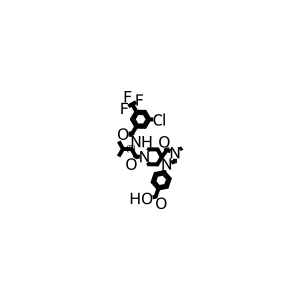 CC(C)[C@@H](NC(=O)c1cc(Cl)cc(C(F)(F)F)c1)C(=O)N1CCC2(CC1)C(=O)N(C)CN2c1ccc(C(=O)O)cc1